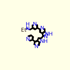 CCNCc1cncc(-c2cc3c(-c4cc5c(-c6cccnc6)cncc5[nH]4)n[nH]c3cn2)c1